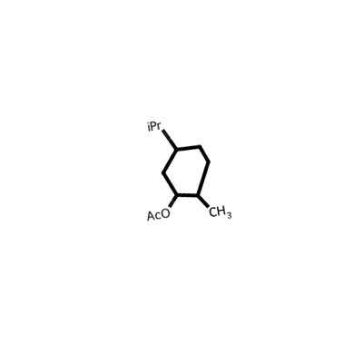 CC(=O)OC1CC(C(C)C)CCC1C